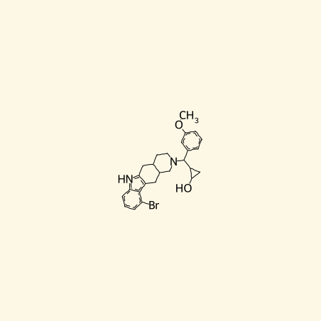 COc1cccc(C(C2CC2O)N2CCC3Cc4[nH]c5cccc(Br)c5c4CC3C2)c1